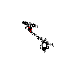 CCOc1cc(C(C)(C)C)ccc1C1=N[C@@](C)(c2ccc(Cl)cc2)[C@@](C)(c2ccc(Cl)cc2)N1C(=O)N1CCN(CCOCCOCCC(=O)NCCn2nc3c(c2C#N)-c2cnc(N)c(c2)N2CCC[C@@H]2c2cc(F)ccc2C(=O)N(C)C3)CC1